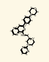 c1cnc(N2CCO[C@H](CNc3nc(-c4ccc(N5CCOCC5)cc4)cc4nccnc34)C2)nc1